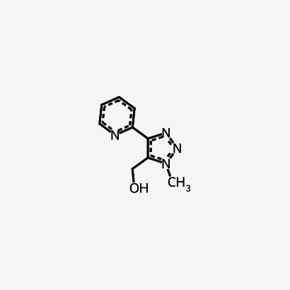 Cn1nnc(-c2ccccn2)c1CO